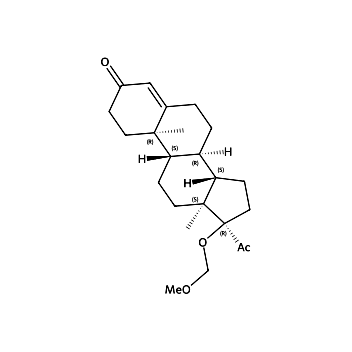 COCO[C@]1(C(C)=O)CC[C@H]2[C@@H]3CCC4=CC(=O)CC[C@]4(C)[C@H]3CC[C@@]21C